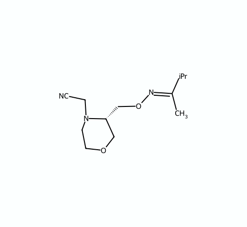 C/C(=N\OC[C@@H]1COCCN1CC#N)C(C)C